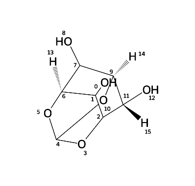 OC1C2OC3O[C@H]1C(O)[C@H](O3)[C@@H]2O